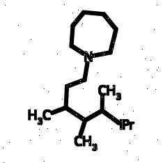 CC(C)C(C)C(C)C(C)CCN1CCCCCC1